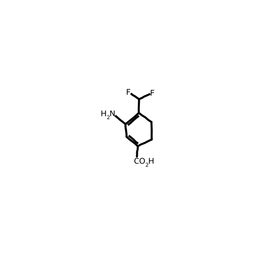 NC1=C(C(F)F)CCC(C(=O)O)=C1